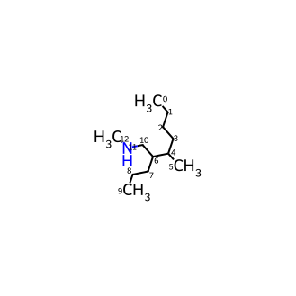 CCCCC(C)C(CCC)CNC